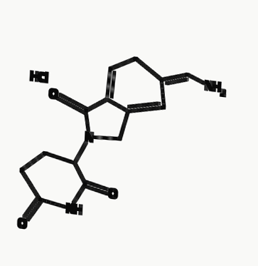 Cl.NC=C1C=C2CN(C3CCC(=O)NC3=O)C(=O)C2=CC1